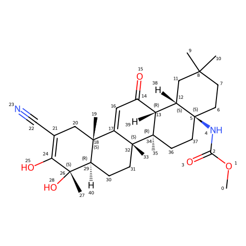 COC(=O)N[C@]12CCC(C)(C)C[C@H]1[C@H]1C(=O)C=C3[C@@]4(C)CC(C#N)=C(O)[C@@](C)(O)[C@@H]4CC[C@@]3(C)[C@]1(C)CC2